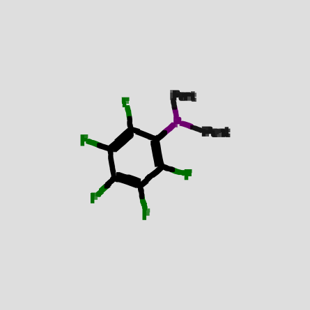 CCCC(C)P(c1c(F)c(F)c(F)c(F)c1F)C(C)CCC